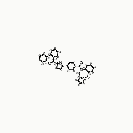 O=C(c1ccc(-c2ccn(C(=O)c3ccccc3-c3ccccc3)n2)cc1)N1Cc2cccn2Cc2ccccc21